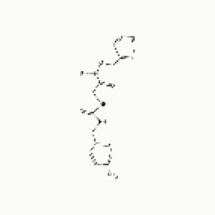 CCN(OCc1ccccc1)C(=O)CNC(=O)NCc1ccc(N)cc1